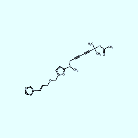 CC(=O)OC(C)(C)C#CC#CCN(C)c1ccc(COC/C=C/c2ccsc2)o1